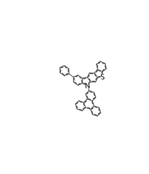 c1ccc(-c2ccc3c(c2)c2cc4c(cc2n3-c2ccc3c5ccccc5c5ccccc5c3c2)sc2ccccc24)cc1